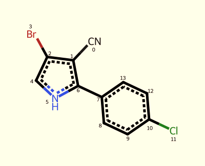 N#Cc1c(Br)c[nH]c1-c1ccc(Cl)cc1